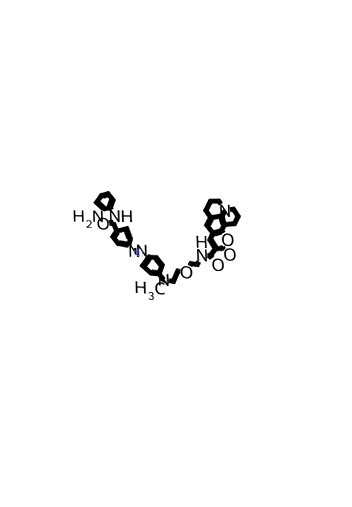 CN(CCOCCNC(=O)c1cc2cc3c4c(c2oc1=O)CCCN4CCC3)c1ccc(/N=N/c2ccc(C(=O)Nc3ccccc3N)cc2)cc1